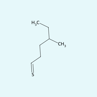 CCC(C)CCC=S